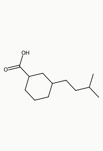 CC(C)CCC1CCCC(C(=O)O)C1